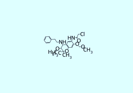 COCOc1cc2c(cc1NC(=O)CCl)C(NCCc1ccccc1)C(OC)C(C)(C)O2